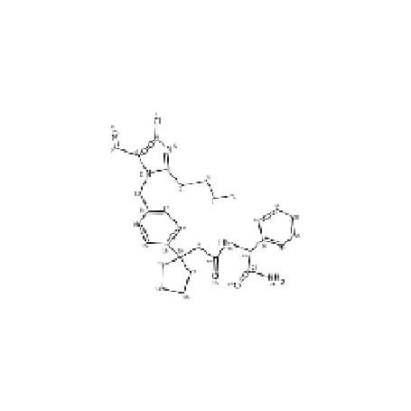 CCCCc1nc(Cl)c(C=O)n1Cc1ccc(C2(CC(=O)NC(C(N)=O)c3ccccc3)CCCC2)cc1